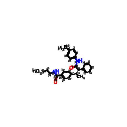 Bc1ccc(NC(=O)[C@H](c2ccccc2)C(C)c2ccc(C(=O)NCCS(=O)(=O)O)cc2)cc1